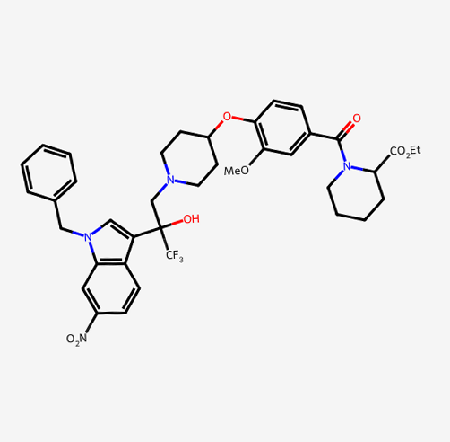 CCOC(=O)C1CCCCN1C(=O)c1ccc(OC2CCN(CC(O)(c3cn(Cc4ccccc4)c4cc([N+](=O)[O-])ccc34)C(F)(F)F)CC2)c(OC)c1